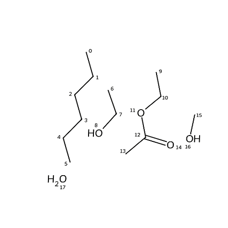 CCCCCC.CCO.CCOC(C)=O.CO.O